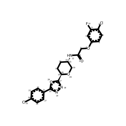 O=C(COc1ccc(Cl)c(F)c1)N[C@H]1CC[C@H](c2nnc(-c3ccc(Cl)cc3)o2)OC1